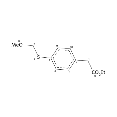 CCOC(=O)Cc1ccc(SCOC)cc1